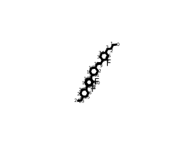 CCCCC1C=C(F)C(/C=C/C2CCC(c3ccc(C4CCC(CC)CC4)c(F)c3F)CC2)CC1